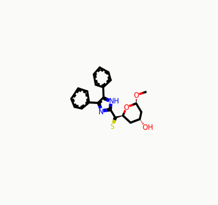 CO[C@@H]1C[C@H](O)C[C@@H](C(=S)c2nc(-c3ccccc3)c(-c3ccccc3)[nH]2)O1